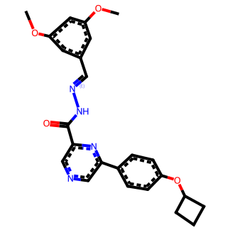 COc1cc(/C=N/NC(=O)c2cncc(-c3ccc(OC4CCC4)cc3)n2)cc(OC)c1